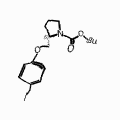 CC(C)(C)OC(=O)N1CCC[C@H]1COc1ccc(I)cc1